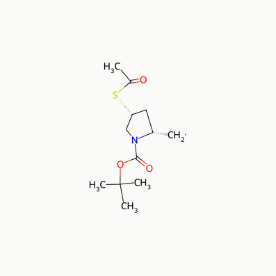 [CH2][C@H]1C[C@@H](SC(C)=O)CN1C(=O)OC(C)(C)C